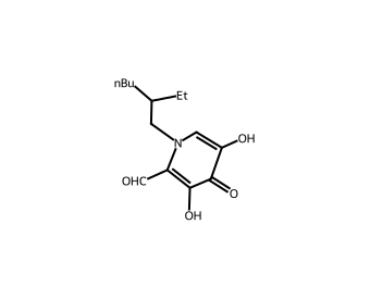 CCCCC(CC)Cn1cc(O)c(=O)c(O)c1C=O